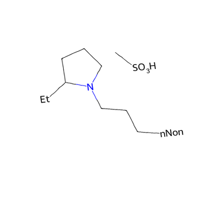 CCCCCCCCCCCCN1CCCC1CC.CS(=O)(=O)O